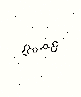 C1=[C]([Fe][C]2=CC=C(c3cccc4ccccc34)C2)CC(c2cccc3ccccc23)=C1